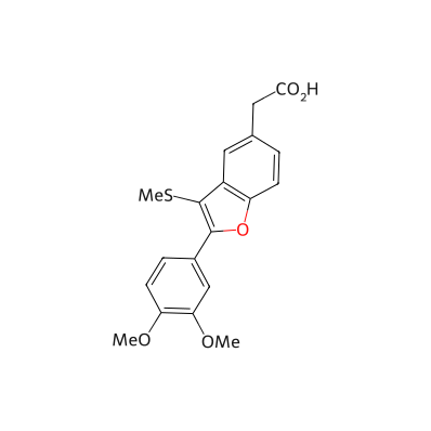 COc1ccc(-c2oc3ccc(CC(=O)O)cc3c2SC)cc1OC